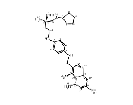 Cc1c(CNc2ccc(OCC[C@@](N)(C=O)COC3CCCC3)cc2)cnc2nc(N)nc(N)c12